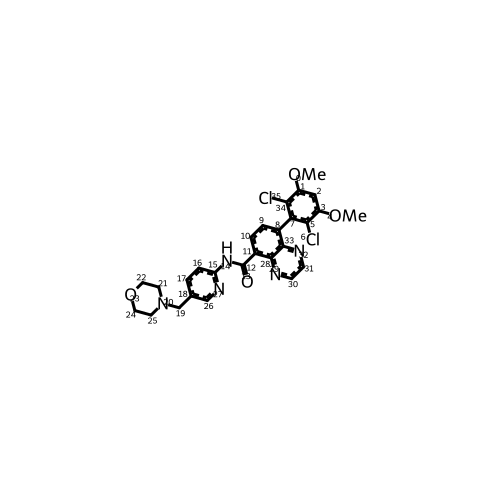 COc1cc(OC)c(Cl)c(-c2ccc(C(=O)Nc3ccc(CN4CCOCC4)cn3)c3nccnc23)c1Cl